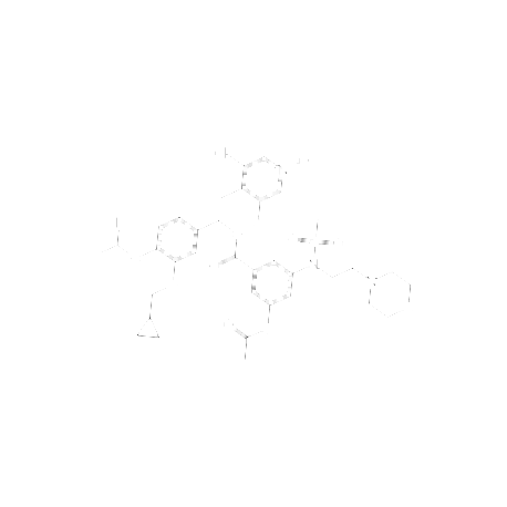 CC(=O)Oc1cc(C(=O)O[C@@H](Cc2c(Cl)c[n+]([O-])cc2Cl)c2ccc(OC(F)F)c(OCC3CC3)c2)cc(N(CCN2CCOCC2)S(C)(=O)=O)c1